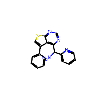 NC(c1ccccn1)c1ncnc2scc(-c3ccccc3)c12